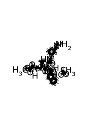 CC(=O)O.COC(=O)C(=O)NCCN(C(=O)[C@H](CC(=O)NC[C@@H]1CCCN(C=NN)C1)NS(=O)(=O)c1ccc2ccccc2c1)C1CC1